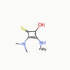 CCCNC1=C(N(C)C)C(=S)C1O